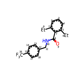 CCc1cccc(CC)c1C(=O)NCc1ccc(C(F)(F)F)cc1